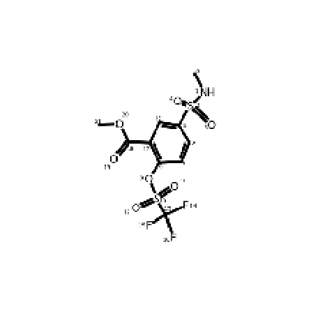 CNS(=O)(=O)c1ccc(OS(=O)(=O)C(F)(F)F)c(C(=O)OC)c1